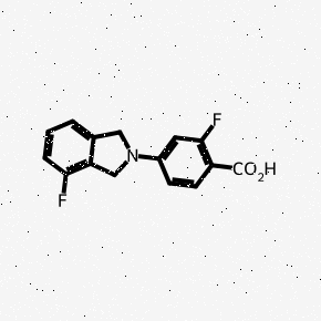 O=C(O)c1ccc(N2Cc3cccc(F)c3C2)cc1F